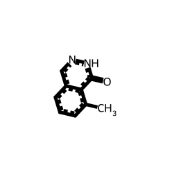 Cc1cccc2cn[nH]c(=O)c12